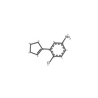 Nc1ccc(Cl)c(C2=CCCC2)c1